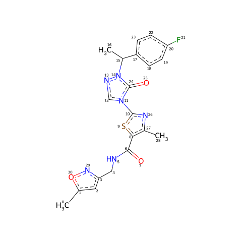 Cc1cc(CNC(=O)c2sc(-n3cnn(C(C)c4ccc(F)cc4)c3=O)nc2C)no1